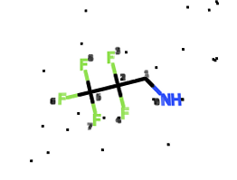 [NH]CC(F)(F)C(F)(F)F